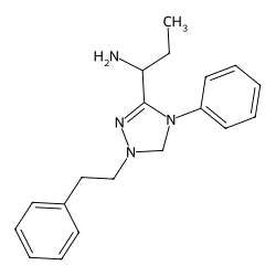 CCC(N)C1=NN(CCc2ccccc2)CN1c1ccccc1